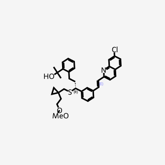 COOCCC1(CS[C@H](CCc2ccccc2C(C)(C)O)c2cccc(/C=C/c3ccc4ccc(Cl)cc4n3)c2)CC1